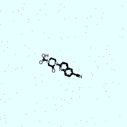 N#Cc1ccc2nc(N3CCN(C(=O)O)CC3=O)ccc2c1